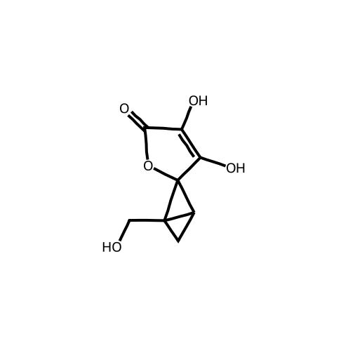 O=C1OC2(C(O)=C1O)C1CC12CO